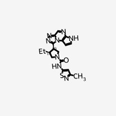 CC[C@@H]1CN(C(=O)Nc2cc(C)ns2)C[C@@H]1c1nnc2cnc3[nH]ccc3n12